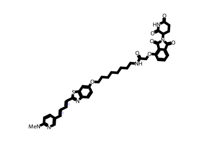 CNc1ccc(/C=C/C=C/c2nc3ccc(OCCCCCCCCNC(=O)COc4cccc5c4C(=O)N(C4CCC(=O)NC4=O)C5=O)cc3s2)cn1